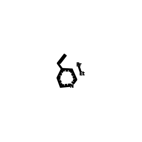 C=Cc1ccncc1.CCBr